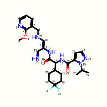 COc1ncccc1CN/C=C(\C=N)NC(=O)C(NC(=O)c1ccnn1C(C)C)C1CCC(F)(F)CC1